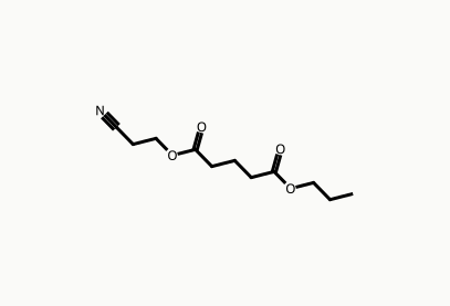 CCCOC(=O)CCCC(=O)OCCC#N